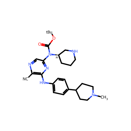 CN1CCC(c2ccc(Nc3nc(N(C(=O)OC(C)(C)C)[C@@H]4CCCNC4)cnc3C#N)cc2)CC1